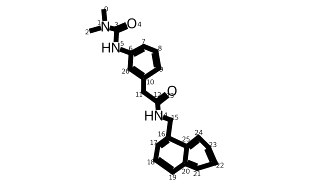 CN(C)C(=O)Nc1cccc(CC(=O)NCc2cccc3ccccc23)c1